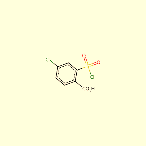 O=C(O)c1ccc(Cl)cc1S(=O)(=O)Cl